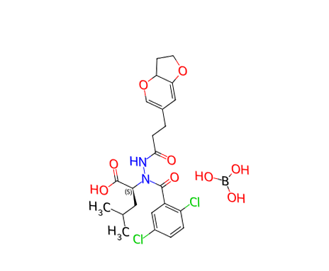 CC(C)C[C@@H](C(=O)O)N(NC(=O)CCC1=COC2CCOC2=C1)C(=O)c1cc(Cl)ccc1Cl.OB(O)O